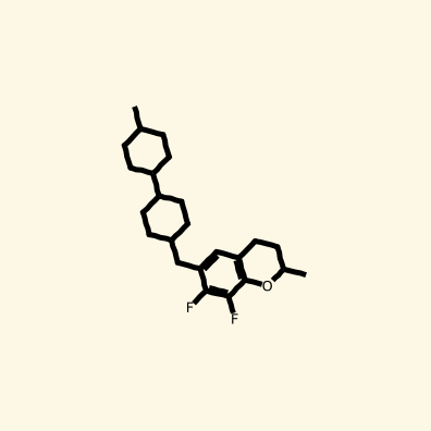 CC1CCC(C2CCC(Cc3cc4c(c(F)c3F)OC(C)CC4)CC2)CC1